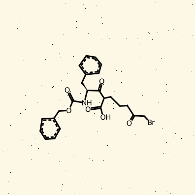 O=C(CBr)CCCC(C(=O)O)C(=O)[C@H](Cc1ccccc1)NC(=O)OCc1ccccc1